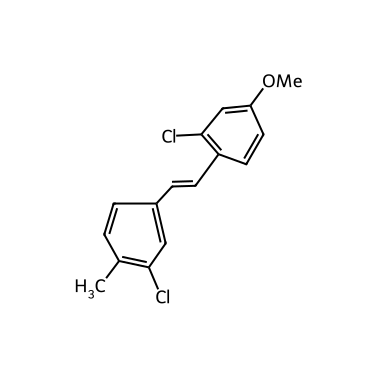 COc1ccc(C=Cc2ccc(C)c(Cl)c2)c(Cl)c1